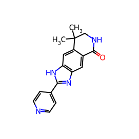 CC1(C)CNC(=O)c2cc3nc(-c4ccncc4)[nH]c3cc21